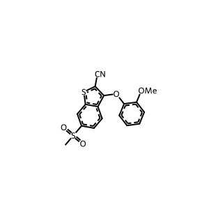 COc1ccccc1Oc1c(C#N)sc2cc(S(C)(=O)=O)ccc12